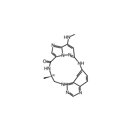 CNc1cc2nn3c(cnc13)C(=O)N[C@H](C)CNc1ncnc3ccc(cc13)N2